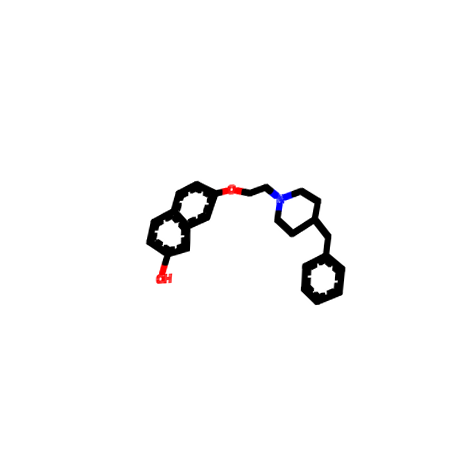 Oc1ccc2ccc(OCCN3CCC(Cc4ccccc4)CC3)cc2c1